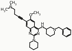 COc1cc2c(NC3CCCN(Cc4ccccc4)C3)nc(N3CCCCC3)nc2cc1C#CCCN(C)C